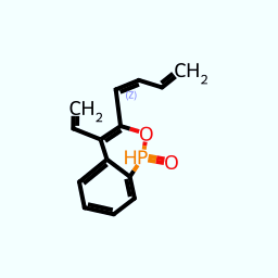 C=C/C=C\C1=C(C=C)c2ccccc2[PH](=O)O1